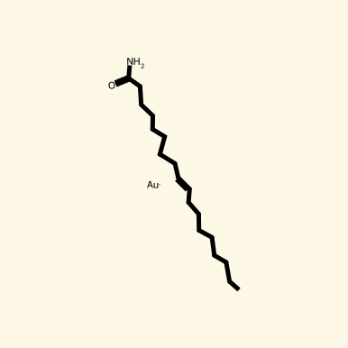 CCCCCCCCC=CCCCCCCCC(N)=O.[Au]